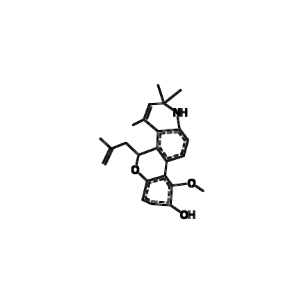 C=C(C)CC1Oc2ccc(O)c(OC)c2-c2ccc3c(c21)C(C)=CC(C)(C)N3